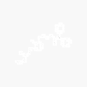 Cc1c(/C=C\COC(=O)N(c2ccccc2)c2ccccc2)cccc1OCC(=O)OC(C)(C)C